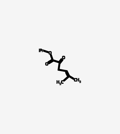 CC(C)=CCC(=O)C(=O)OC(C)C